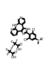 C[S+]([O-])c1cc(Cl)c(-c2nc3c([nH]2)-c2ccncc2Nc2ncccc2-3)c(Cl)c1.O=C(O)C(F)(F)F.O=C(O)C(F)(F)F